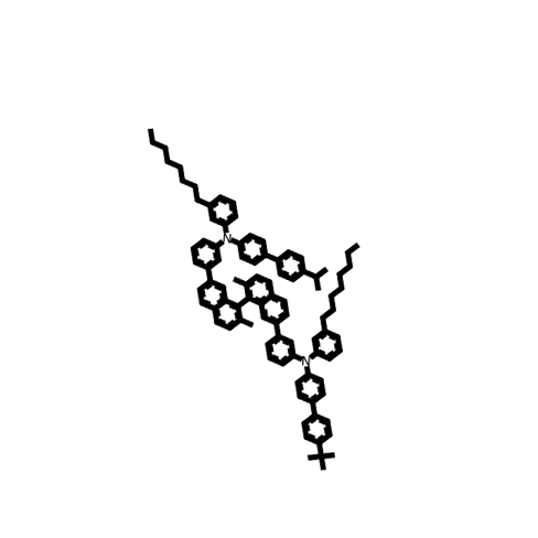 CCCCCCCCc1cccc(N(c2ccc(-c3ccc(C(C)C)cc3)cc2)c2cccc(-c3ccc4ccc(C)c(-c5c(C)ccc6ccc(-c7cccc(N(c8ccc(-c9ccc(C(C)(C)C)cc9)cc8)c8cccc(CCCCCCCC)c8)c7)cc56)c4c3)c2)c1